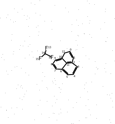 C1=Cc2cccc3cccc(c23)C1.F[C](F)F